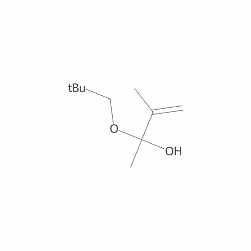 C=C(C)C(C)(O)OCC(C)(C)C